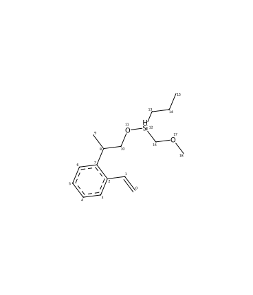 C=Cc1ccccc1C(C)CO[SiH](CCC)COC